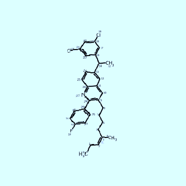 CC/C=C(/C)CCCCc1cc2cc(C(C)c3cc(Cl)cc(Cl)c3)ccc2nc1-c1ccc(F)cc1